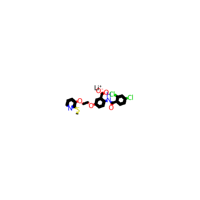 CSc1ncccc1OCCOc1ccc(NC(=O)c2ccc(Cl)cc2Cl)c(C(=O)[O-])c1.[Li+]